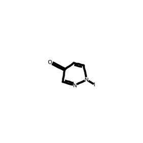 O=c1ccn(I)nc1